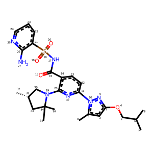 Cc1cc(OCC(C)C)nn1-c1ccc(C(=O)NS(=O)(=O)c2cccnc2N)c(N2C[C@@H](C)CC2(C)C)n1